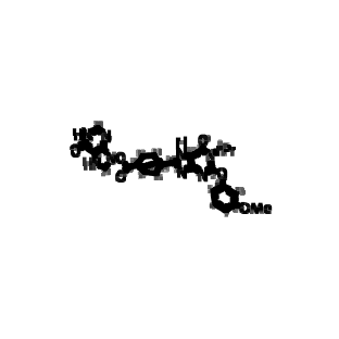 CCCn1c(Oc2cccc(OC)c2)nc2nc(C34CCC(C(=O)ON5CNc6c5nc[nH]c6=O)(CC3)CC4)[nH]c2c1=O